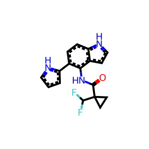 O=C(Nc1c(-c2ccc[nH]2)ccc2[nH]ccc12)C1(C(F)F)CC1